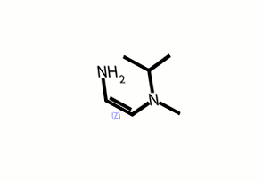 CC(C)N(C)/C=C\N